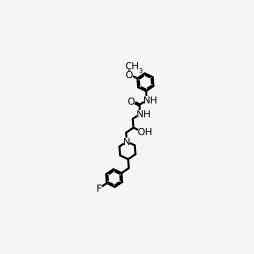 COc1cccc(NC(=O)NCC(O)CN2CCC(Cc3ccc(F)cc3)CC2)c1